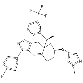 C[C@H](c1cc(C(F)(F)F)ccn1)C12Cc3cnn(-c4ccc(F)cc4)c3C=C1CC[C@H](Sc1cnn(C)c1)C2